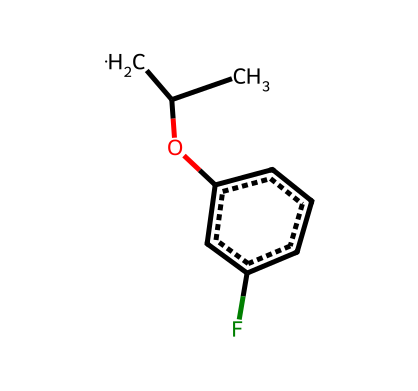 [CH2]C(C)Oc1cccc(F)c1